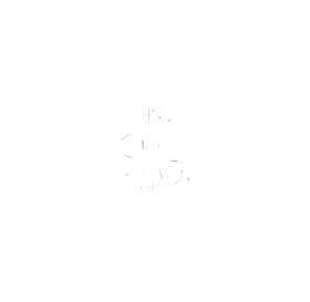 Cc1ccc(OC[C@@H]2CCN2)c(F)n1.Cc1ccc(S(=O)(=O)O)cc1